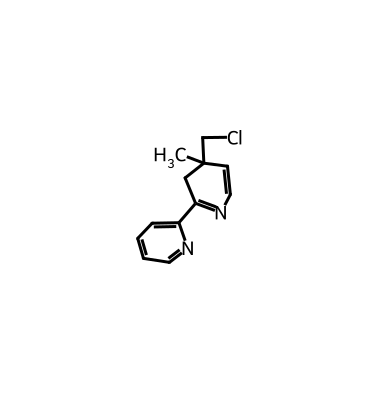 CC1(CCl)C=CN=C(c2ccccn2)C1